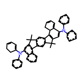 CC1(C)C2=C(c3cc4c(cc31)-c1c(cc(N(C3=CC=CCC3)c3ccccc3)c3ccccc13)C4(C)C)C1CC=CC=C1C(N(c1ccccc1)c1ccccc1)=C2